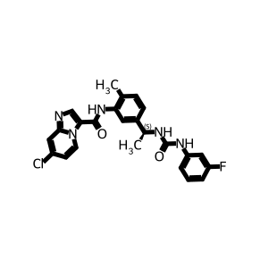 Cc1ccc([C@H](C)NC(=O)Nc2cccc(F)c2)cc1NC(=O)c1cnc2cc(Cl)ccn12